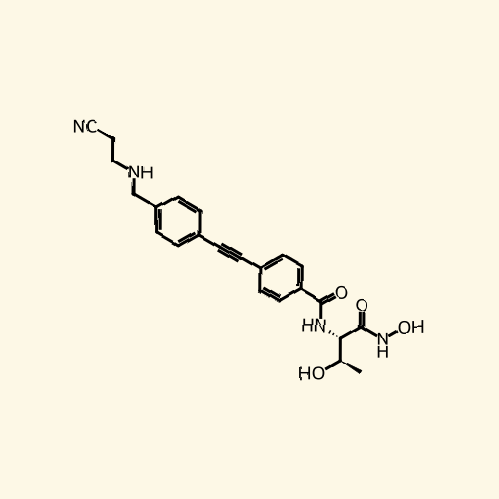 C[C@@H](O)[C@H](NC(=O)c1ccc(C#Cc2ccc(CNCCC#N)cc2)cc1)C(=O)NO